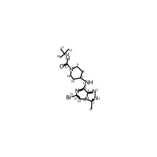 Cc1nnc2c(NC3CCN(C(=O)OC(C)(C)C)CC3)nc(Br)cn12